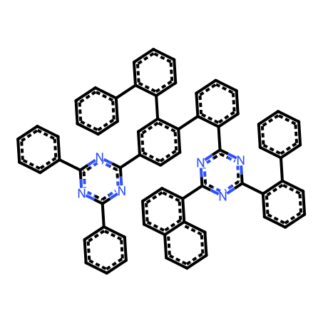 c1ccc(-c2nc(-c3ccccc3)nc(-c3ccc(-c4ccccc4-c4nc(-c5ccccc5-c5ccccc5)nc(-c5cccc6ccccc56)n4)c(-c4ccccc4-c4ccccc4)c3)n2)cc1